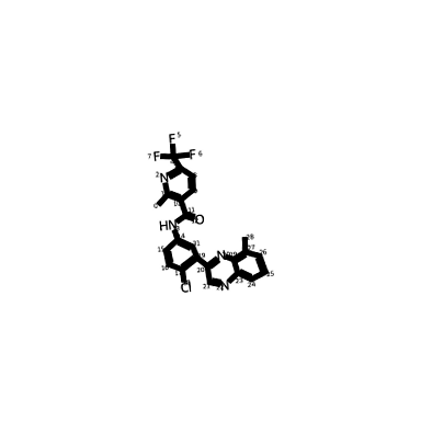 Cc1nc(C(F)(F)F)ccc1C(=O)Nc1ccc(Cl)c(-c2cnc3cccc(C)c3n2)c1